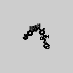 Cc1cc(NC(=O)CCN2CCOCC2)ccc1Nc1cc(-c2ccc(-n3cccn3)cc2)[nH]n1